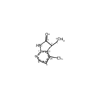 CCC1C(=O)Nc2nccc(Cl)c21